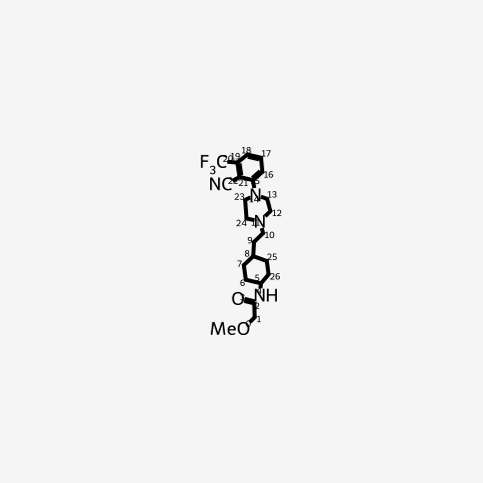 COCC(=O)NC1CCC(CCN2CCN(c3cccc(C(F)(F)F)c3C#N)CC2)CC1